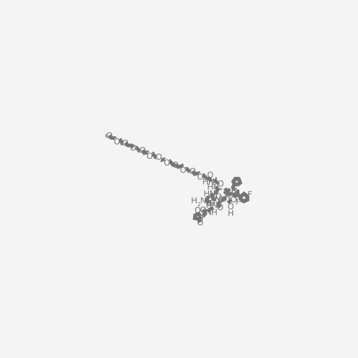 COCCOCCOCCOCCOCCOCCOCCOCCOCCOCCOCCOCCC(=O)N[C@@H](C)C(=O)N[C@@H](C)C(=O)N[C@@H](CC(N)=O)C(=O)N[C@@H](CCN(C(=O)CO)[C@@H](c1cc(-c2cc(F)ccc2F)cn1Cc1ccccc1)C(C)(C)C)C(=O)NCCNC(=O)CN1C(=O)C=CC1=O